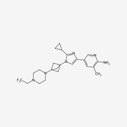 Cc1cc(-c2cn(C34CC(N5CCN(CC(F)(F)F)CC5)(C3)C4)c(C3CC3)n2)cnc1N